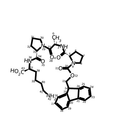 C[C@H](NC(=O)[C@@H]1CCCN1C(=O)OCC1c2ccccc2-c2ccccc21)C(=O)N1CCC[C@H]1C(=O)N[C@@H](CCCCN)C(=O)O